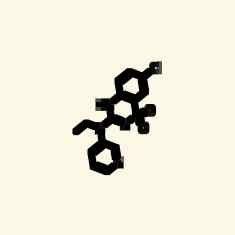 CCN(C1=NS(=O)(=O)c2cc(Cl)ccc2N1)c1cccnc1